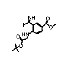 COC(=O)c1ccc(NCC(=O)OC(C)(C)C)c(C(=N)I)c1